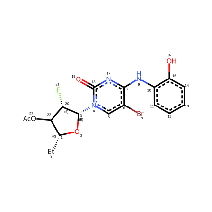 CC[C@H]1O[C@@H](n2cc(Br)c(Nc3ccccc3O)nc2=O)[C@@H](F)C1OC(C)=O